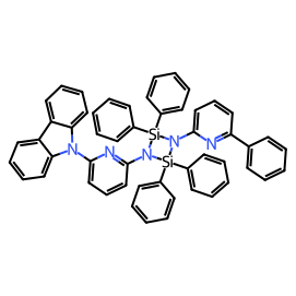 c1ccc(-c2cccc(N3[Si](c4ccccc4)(c4ccccc4)N(c4cccc(-n5c6ccccc6c6ccccc65)n4)[Si]3(c3ccccc3)c3ccccc3)n2)cc1